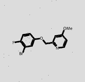 COc1ccnc(COc2ccc(F)c(Br)c2)c1